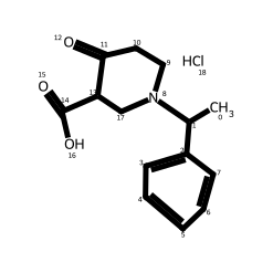 CC(c1ccccc1)N1CCC(=O)C(C(=O)O)C1.Cl